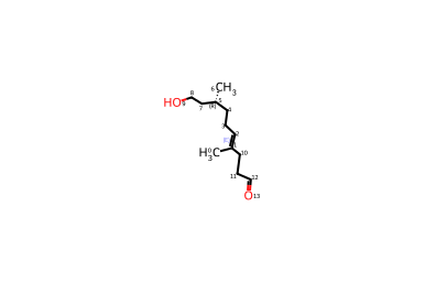 C/C(=C\CC[C@@H](C)CCO)CCC=O